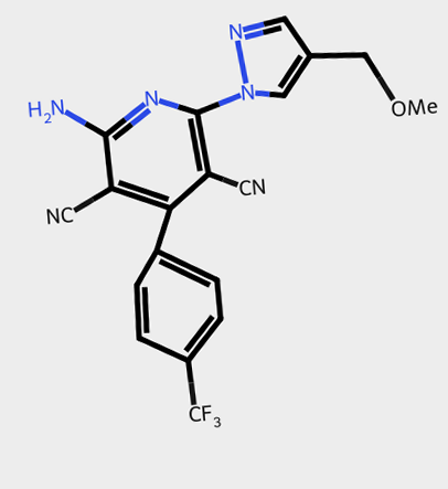 COCc1cnn(-c2nc(N)c(C#N)c(-c3ccc(C(F)(F)F)cc3)c2C#N)c1